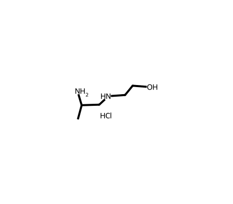 CC(N)CNCCO.Cl